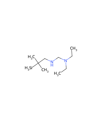 CCN(CC)CNCC(C)(C)[SiH3]